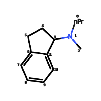 CCCN(C)C1CCc2ccccc21